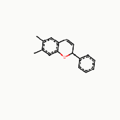 Cc1cc2c(cc1C)OC(c1ccccc1)C=C2